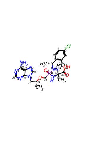 Cc1cc(Cl)ccc1[C@@H](C)N[P@](=O)(CO[C@H](C)Cn1cnc2c(N)ncnc21)NC(C)(C)C(=O)O